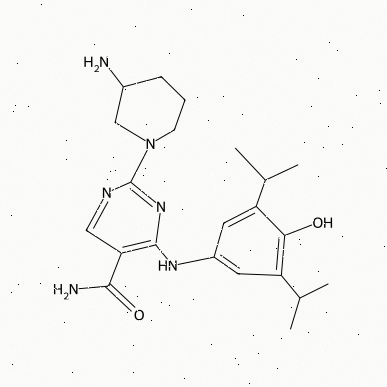 CC(C)c1cc(Nc2nc(N3CCCC(N)C3)ncc2C(N)=O)cc(C(C)C)c1O